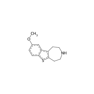 COc1ccc2sc3c(c2c1)CCNCC3